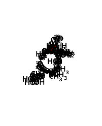 CO[C@H]1O[C@@H](Cn2cc(CCCN3CCOC45CC6(C)CC(C)(CC(Cn7ncc(c7C)-c7ccc(nc7C(=O)O)N7Cc8c(C(=O)Nc9nc%10ccccc%10s9)cccc8C(C7)C(C)[C@H](NC(=O)CCCCCN7C(=O)C=CC7=O)C(=O)N[C@@H](CCCNC(N)=O)C(=O)Nc7ccc(cc7)COC3=O)(C6)C4)C5)nn2)[C@H](O)[C@@H](O)[C@@H]1O